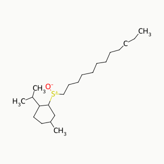 CCCCCCCCCCCC[S+]([O-])C1CC(C)CCC1C(C)C